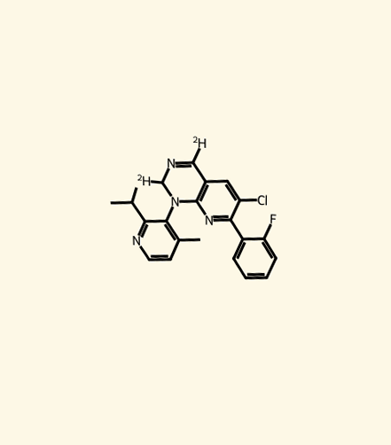 [2H]C1=NC([2H])N(c2c(C)ccnc2C(C)C)c2nc(-c3ccccc3F)c(Cl)cc21